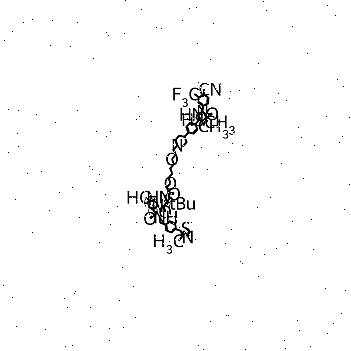 Cc1ncsc1-c1ccc(CNC(=O)[C@@H]2C[C@@H](O)CN2C(=O)[C@@H](NC(=O)COCCCCOCCN2CCC(c3ccc([SH]4NN(c5ccc(C#N)c(C(F)(F)F)c5)C(=O)C4(C)C)cc3)CC2)C(C)(C)C)cc1